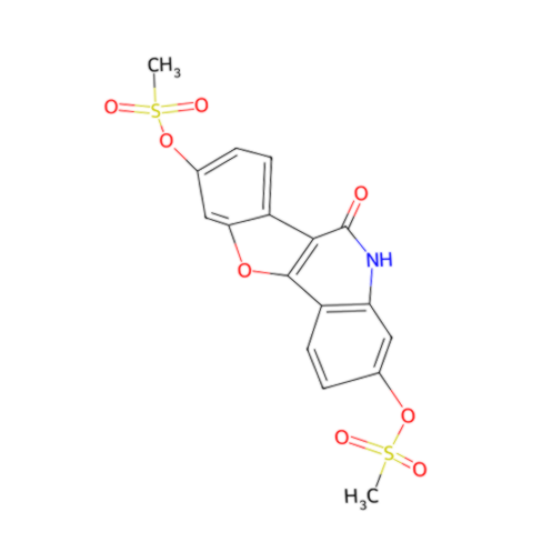 CS(=O)(=O)Oc1ccc2c(c1)[nH]c(=O)c1c3ccc(OS(C)(=O)=O)cc3oc21